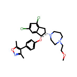 COCCN1CCCN([C@H]2Cc3c(Cl)cc(Cl)cc3[C@H]2Oc2ccc(-c3c(C)noc3C)cc2)CC1